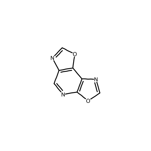 c1nc2c(ncc3ncoc32)o1